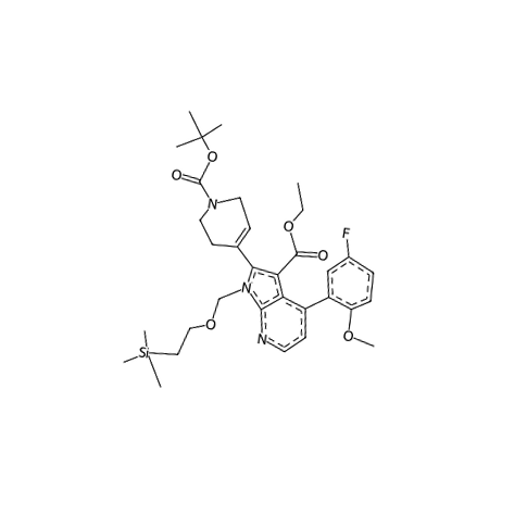 CCOC(=O)c1c(C2=CCN(C(=O)OC(C)(C)C)CC2)n(COCC[Si](C)(C)C)c2nccc(-c3cc(F)ccc3OC)c12